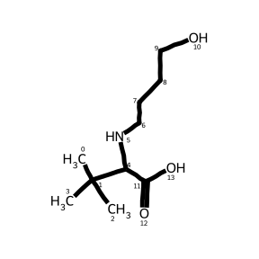 CC(C)(C)C(NCCCCO)C(=O)O